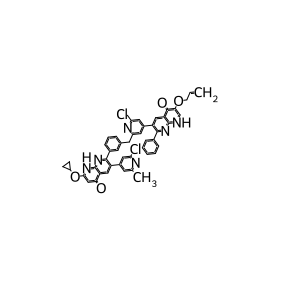 C=CCOc1c[nH]c2nc(-c3ccccc3)c(-c3cc(Cl)nc(Cc4cccc(-c5nc6[nH]c(OC7CC7)cc(=O)c6cc5-c5cc(C)nc(Cl)c5)c4)c3)cc2c1=O